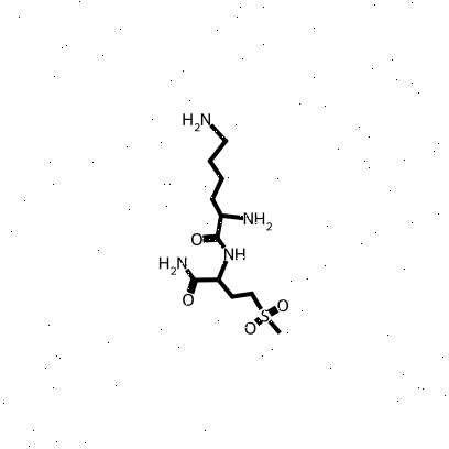 CS(=O)(=O)CCC(NC(=O)C(N)CCCCN)C(N)=O